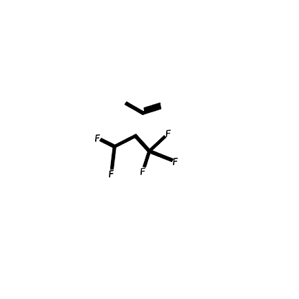 C=CC.FC(F)CC(F)(F)F